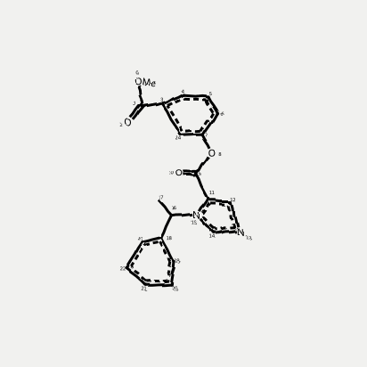 COC(=O)c1cccc(OC(=O)c2cncn2C(C)c2ccccc2)c1